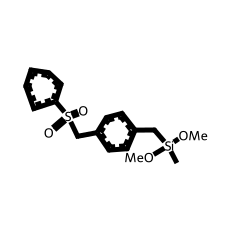 CO[Si](C)(Cc1ccc(CS(=O)(=O)c2ccccc2)cc1)OC